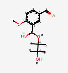 COc1ccc(C=O)cc1B(O)OC(C)(C)C(C)(C)O